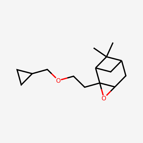 CC1(C)C2CC3OC3(CCOCC3CC3)C1C2